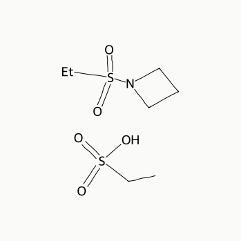 CCS(=O)(=O)N1CCC1.CCS(=O)(=O)O